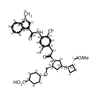 COC[C@@H]1CCN1[C@H]1C[C@@H](CO[C@H]2CC[C@H](C(=O)O)CC2)N(C(=O)Cc2cc(Cl)c(NC(=O)c3cn(C)c4ccccc34)cc2F)C1